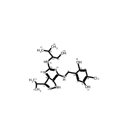 CC(C)c1n[nH]c2c(NCc3cc(O)c(Cl)cc3O)nc(NC(CO)C(C)C)nc12